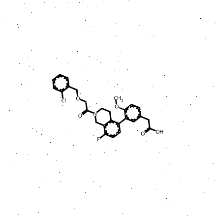 COc1ccc(CC(=O)O)cc1-c1ccc(F)c2c1CCN(C(=O)COCc1ccccc1Cl)C2